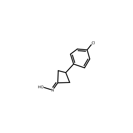 ON=C1CC(c2ccc(Cl)cc2)C1